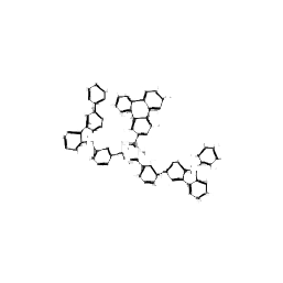 c1ccc(-c2ccc3c(c2)c2ccccc2n3-c2cccc(-c3nc(-c4cccc(-c5ccc6c(c5)c5ccccc5n6-c5ccccc5)c4)nc(-c4ccc5c6ccccc6c6ccccc6c5c4)n3)c2)cc1